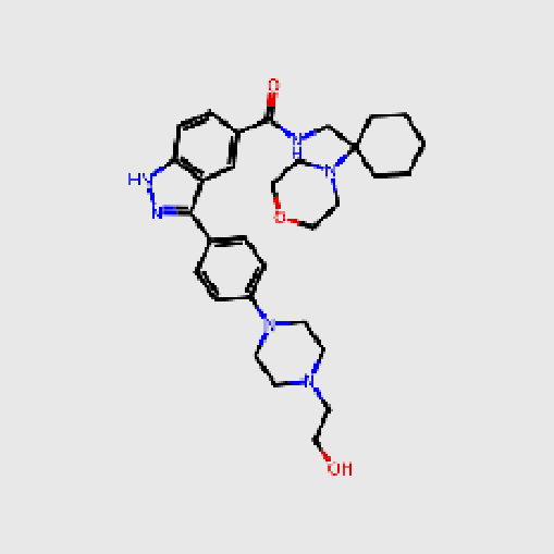 O=C(NCC1(N2CCOCC2)CCCCC1)c1ccc2[nH]nc(-c3ccc(N4CCN(CCO)CC4)cc3)c2c1